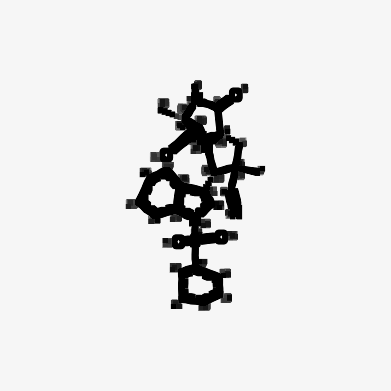 CN1C(=O)[C@@]23C[C@](C)(C#N)[C@H](c4cn(S(=O)(=O)c5ccccc5)c5ccccc45)N2C(=O)[C@@]1(C)SS3